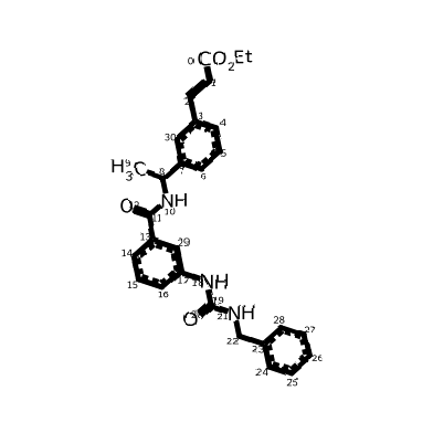 CCOC(=O)C=Cc1cccc(C(C)NC(=O)c2cccc(NC(=O)NCc3ccccc3)c2)c1